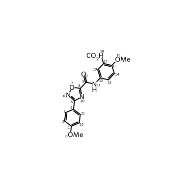 COc1ccc(-c2noc(C(=O)Nc3ccc(OC)c(C(=O)O)c3)n2)cc1